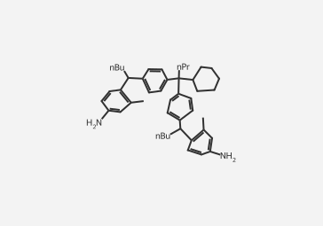 CCCCC(c1ccc(C(CCC)(c2ccc(C(CCCC)c3ccc(N)cc3C)cc2)C2CCCCC2)cc1)c1ccc(N)cc1C